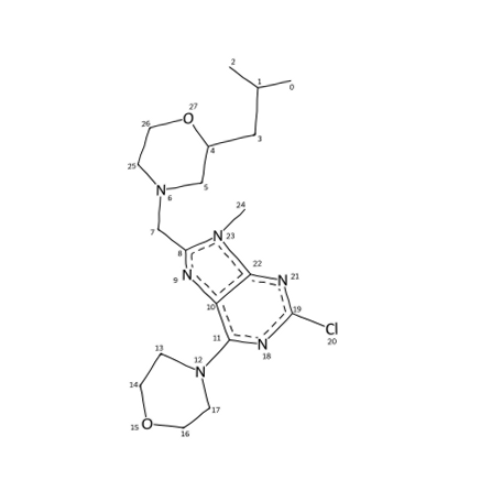 CC(C)CC1CN(Cc2nc3c(N4CCOCC4)nc(Cl)nc3n2C)CCO1